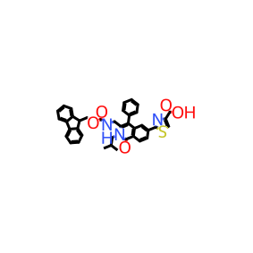 CC(C)Cn1c(CNC(=O)OCC2c3ccccc3-c3ccccc32)c(-c2ccccc2)c2cc(-c3nc(C(=O)O)cs3)ccc2c1=O